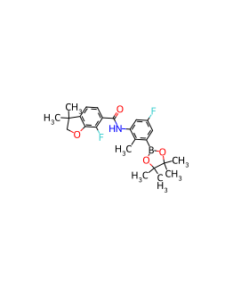 Cc1c(NC(=O)c2ccc3c(c2F)OCC3(C)C)cc(F)cc1B1OC(C)(C)C(C)(C)O1